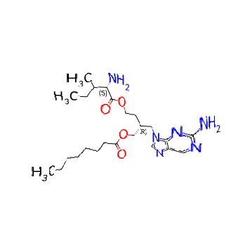 CCCCCCCC(=O)OC[C@H](CCOC(=O)[C@@H](N)C(C)CC)Cn1cnc2cnc(N)nc21